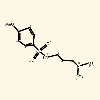 COc1ccc(S(=O)(=O)NCCCN(C)C)cc1